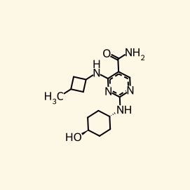 CC1CC(Nc2nc(N[C@H]3CC[C@H](O)CC3)ncc2C(N)=O)C1